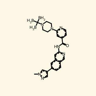 BC(B)(B)N1CCN(c2cc(C(=O)Nc3cc4cc(-c5cnn(C)c5)ccc4cn3)ccn2)CC1